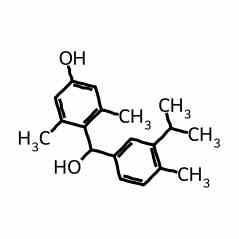 Cc1ccc(C(O)c2c(C)cc(O)cc2C)cc1C(C)C